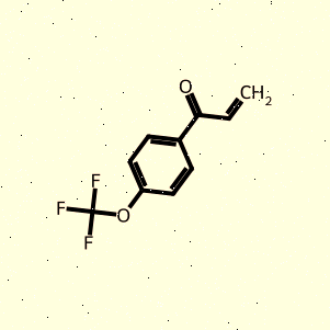 C=CC(=O)c1ccc(OC(F)(F)F)cc1